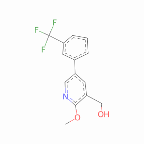 COc1ncc(-c2cccc(C(F)(F)F)c2)cc1CO